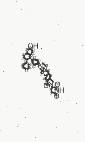 O=C1CCC(N2Cc3cc(CN4CCN(c5ccc([C@@H]6c7ccc(O)cc7CC[C@@H]6c6ccccc6)cc5)CC4)c(F)cc3C2=O)C(=O)N1